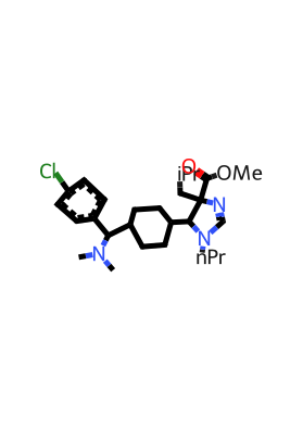 CCCN1C=NC(CC(C)C)(C(=O)OC)C1C1CCC(C(c2ccc(Cl)cc2)N(C)C)CC1